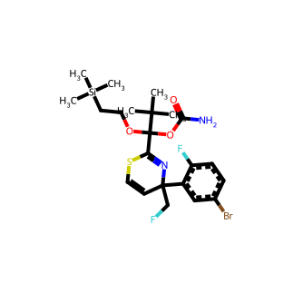 CC(C)(C)C(OCC[Si](C)(C)C)(OC(N)=O)C1=NC(CF)(c2cc(Br)ccc2F)C=CS1